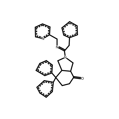 O=C1CCC(c2ccccc2)(c2ccccc2)C2CN(C(Cc3ccccc3)=NCc3ccccn3)CC12